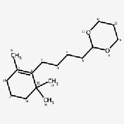 CC1=C(CCCCC2OCCCO2)C(C)(C)CCC1